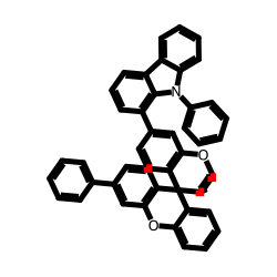 c1ccc(-c2ccc3c(c2)Oc2ccccc2C32c3ccccc3Oc3cc(-c4cccc5c6ccccc6n(-c6ccccc6)c45)ccc32)cc1